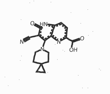 N#Cc1c(N2CCC3(CC2)CC3)c2nc(C(=O)O)ccc2[nH]c1=O